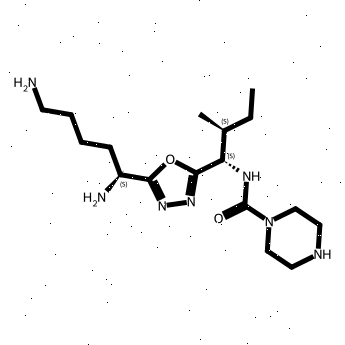 CC[C@H](C)[C@H](NC(=O)N1CCNCC1)c1nnc([C@@H](N)CCCCN)o1